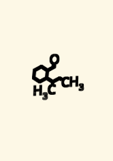 CCC(C)C1CCCCC1C=O